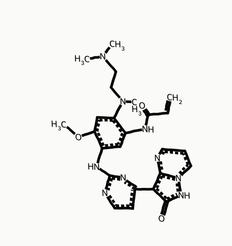 C=CC(=O)Nc1cc(Nc2nccc(-c3c(=O)[nH]n4cccnc34)n2)c(OC)cc1N(C)CCN(C)C